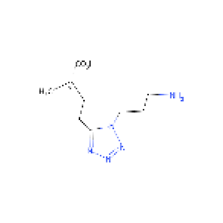 C[C@@H](CCc1nnnn1CCCN)C(=O)O